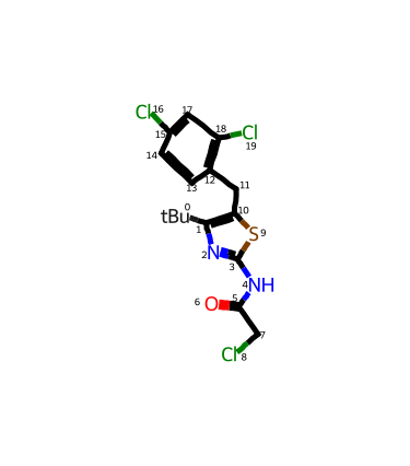 CC(C)(C)c1nc(NC(=O)CCl)sc1Cc1ccc(Cl)cc1Cl